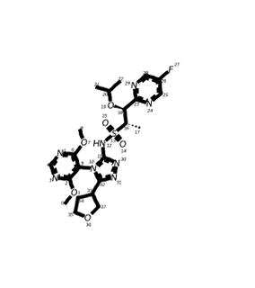 COc1ncnc(OC)c1-n1c(NS(=O)(=O)[C@@H](C)[C@@H](OC(C)C)c2ncc(F)cn2)nnc1C1CCOC1